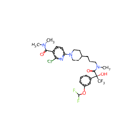 CN(C)C(=O)c1ccc(N2CCC(CCCN(C)C(=O)C(O)(c3cccc(OC(F)F)c3)C(F)(F)F)CC2)nc1Cl